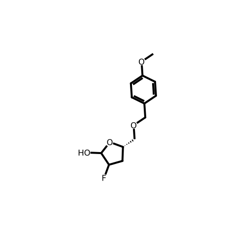 COc1ccc(COC[C@@H]2CC(F)C(O)O2)cc1